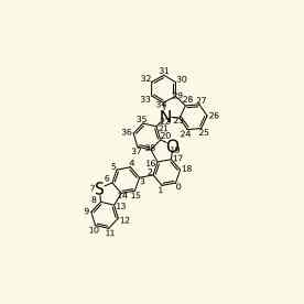 c1cc(-c2ccc3sc4ccccc4c3c2)c2c(c1)oc1c(-n3c4ccccc4c4ccccc43)cccc12